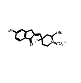 CC(C)(C)C1CC(F)(C=C2Cc3cc(Br)ccc3C2=O)CCN1C(=O)O